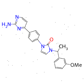 COc1cccc(C(C)n2ccn(-c3ccc(-c4ccnc(N)n4)cc3)c2=O)c1